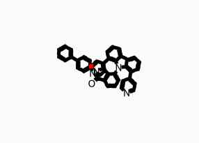 O=C1c2cccc(-n3c4c(-c5ccncc5)cccc4c4cccc(-c5ccncc5)c43)c2CN1c1ccc(-c2ccccc2)cc1